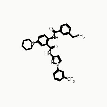 BCc1cccc(C(=O)Nc2ccc(N3CCCCC3)cc2C(=O)Nc2ccn(-c3cccc(C(F)(F)F)c3)n2)c1